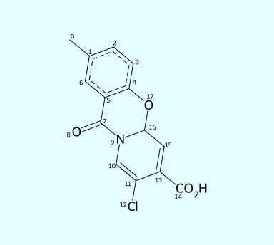 Cc1ccc2c(c1)C(=O)N1C=C(Cl)C(C(=O)O)=CC1O2